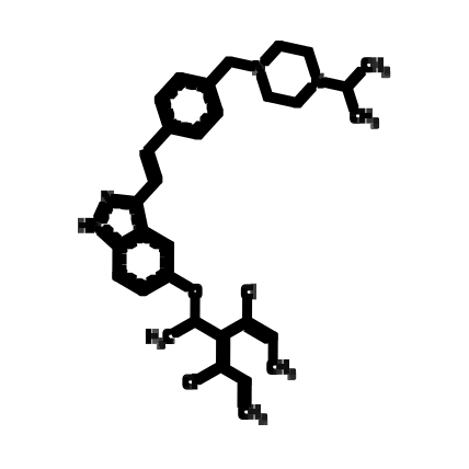 C=C/C(Cl)=C(\C(Cl)=C/C)C(C)Oc1ccc2[nH]nc(/C=C/c3ccc(CN4CCN(C(C)C)CC4)cc3)c2c1